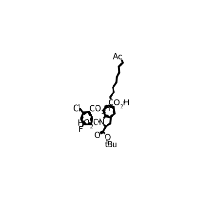 CC(=O)CCCCCCCCC(=O)O.CC(C)(C)OC(=O)C1Cc2ccccc2N1C(=O)O.O=C(O)c1ccc(F)cc1Cl